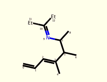 C=C/C=C(\C)C(C)C(C)N=C(CC)CC